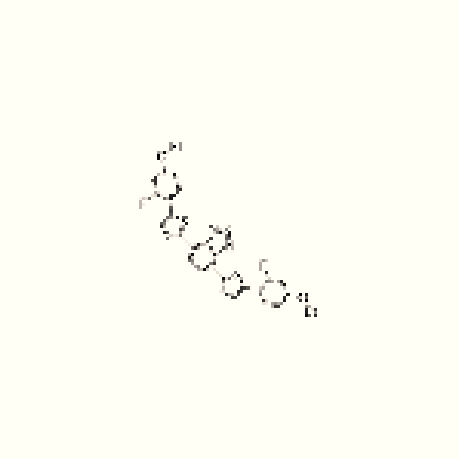 CCOc1ccc(-c2ccc(-c3ccc(-c4ccc(-c5ccc(OCC)cc5F)s4)c4nsnc34)s2)c(F)c1